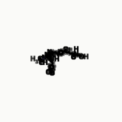 CN(C)/C=N/c1nc(OCCc2ccc([N+](=O)[O-])cc2)c2nc(CNc3ccc(C(=O)CC(I)CCC(=O)NCCO)cc3)cnc2n1